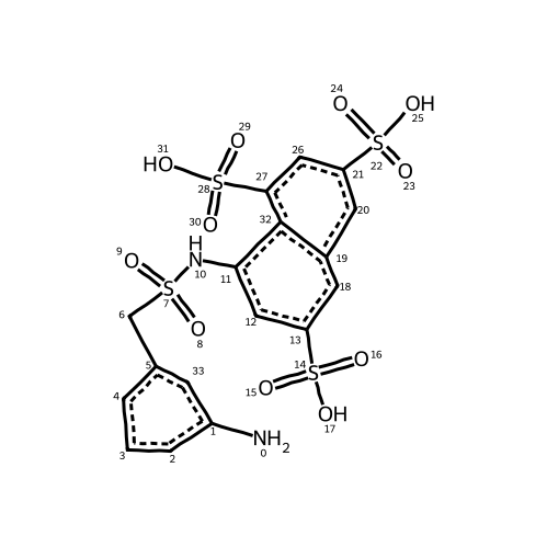 Nc1cccc(CS(=O)(=O)Nc2cc(S(=O)(=O)O)cc3cc(S(=O)(=O)O)cc(S(=O)(=O)O)c23)c1